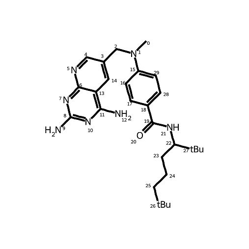 CN(Cc1cnc2nc(N)nc(N)c2c1)c1ccc(C(=O)NC(CCCC(C)(C)C)C(C)(C)C)cc1